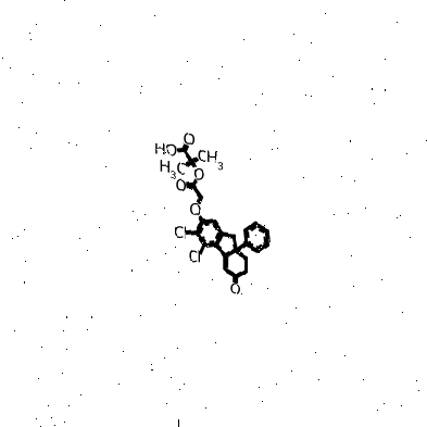 CC(C)(OC(=O)COc1cc2c(c(Cl)c1Cl)C1=CC(=O)CCC1(c1ccccc1)C2)C(=O)O